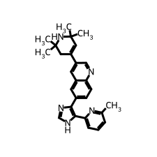 Cc1cccc(-c2[nH]cnc2-c2ccc3ncc(C4=CC(C)(C)NC(C)(C)C4)cc3c2)n1